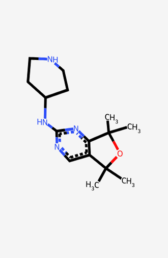 CC1(C)OC(C)(C)c2nc(NC3CCNCC3)ncc21